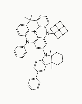 CC1(C)c2cccc3c2B2c4c(cc(N5c6ccc(-c7ccccc7)cc6C6(C)CCCCC56C)cc4N(C45CC6CC7CC(C4)C765)c4cccc1c42)N3c1ccccc1